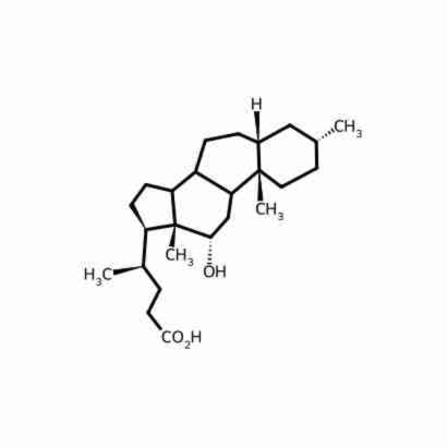 C[C@@H]1CC[C@]2(C)C3C[C@H](O)[C@@]4(C)C(CC[C@@H]4[C@H](C)CCC(=O)O)C3CC[C@@H]2C1